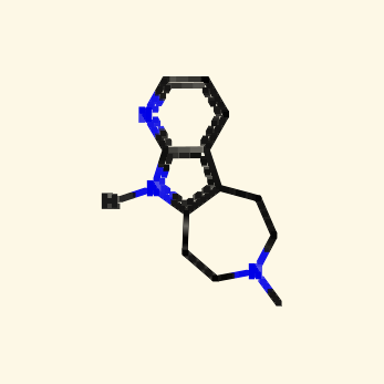 CCn1c2c(c3cccnc31)CCN(C)CC2